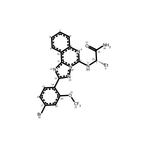 CC[C@H](Nc1nc2ccccc2c2nc(-c3ccc(Br)cc3OC(F)(F)F)nn12)C(N)=O